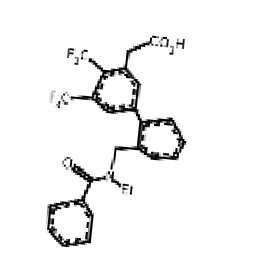 CCN(Cc1ccccc1-c1cc(CC(=O)O)c(C(F)(F)F)c(C(F)(F)F)c1)C(=O)c1ccccc1